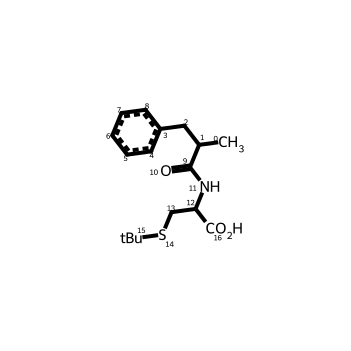 CC(Cc1ccccc1)C(=O)NC(CSC(C)(C)C)C(=O)O